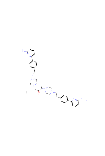 CC(C(=O)C(C)N1CCN(CCc2ccc(-c3cccc(N)n3)cc2)CC1)N1CCN(CCc2ccc(-c3cccc(N)n3)cc2)CC1